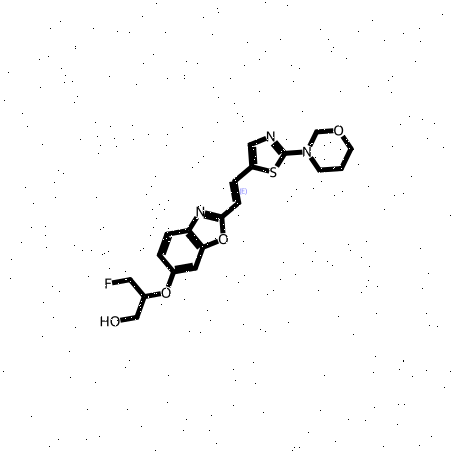 OCC(CF)Oc1ccc2nc(/C=C/c3cnc(N4CCCOC4)s3)oc2c1